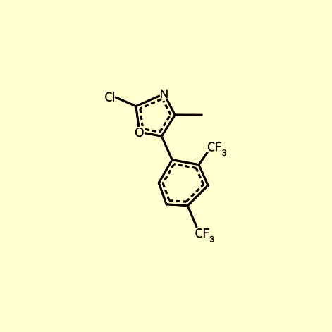 Cc1nc(Cl)oc1-c1ccc(C(F)(F)F)cc1C(F)(F)F